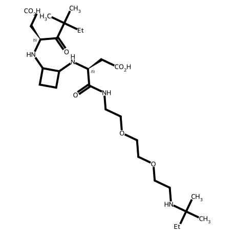 CCC(C)(C)NCCOCCOCCNC(=O)[C@H](CC(=O)O)NC1CCC1N[C@@H](CC(=O)O)C(=O)C(C)(C)CC